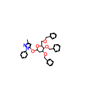 Cc1cc(OC2CC(OCc3ccccc3)[C@H](OCc3ccccc3)C(COCc3ccccc3)O2)n(-c2ccccc2)n1